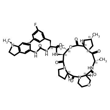 C[C@H]1C[C@H]2C(=O)O[C@@H](C)[C@H](NC(=O)[C@H](Cc3cc(F)cc(F)c3)NC(=O)Nc3ccc4c(c3)CCN4C)C(=O)N3CCC[C@H]3C(=O)N3CCOC[C@H]3C(=O)N[C@@H](C)C(=O)N2C1